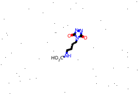 O=C(O)NCCCCN1C(=O)N=NC1=O